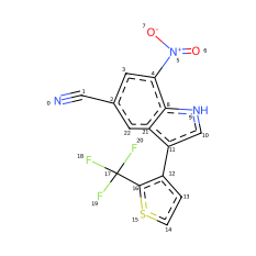 N#Cc1cc([N+](=O)[O-])c2[nH]cc(-c3ccsc3C(F)(F)F)c2c1